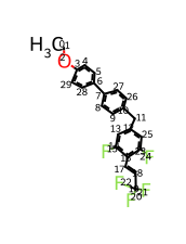 CCOc1ccc(-c2ccc(Cc3cc(F)c(/C=C/C(F)(F)F)c(F)c3)cc2)cc1